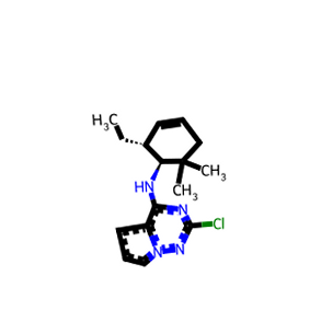 CC[C@@H]1C=CCC(C)(C)[C@H]1Nc1nc(Cl)nn2cccc12